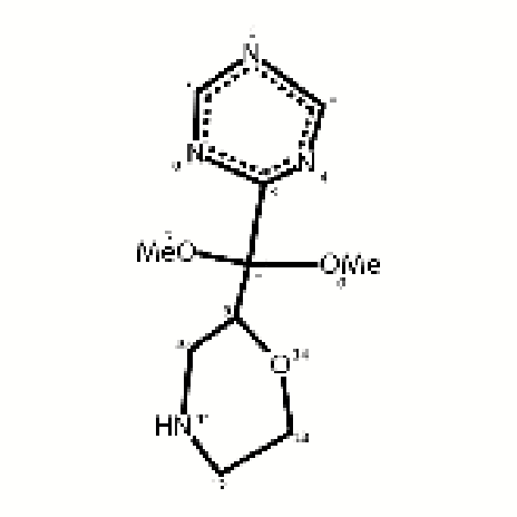 COC(OC)(c1ncncn1)C1CNCCO1